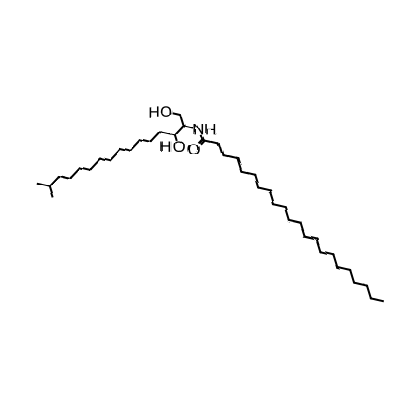 CCCCCCCCCCCCCCCCCCCCCC(=O)NC(CO)C(O)CCCCCCCCCCCC(C)C